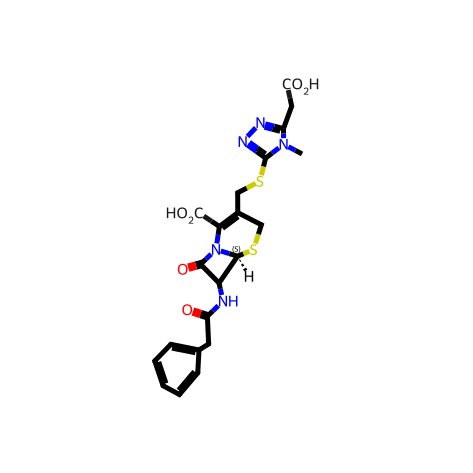 Cn1c(CC(=O)O)nnc1SCC1=C(C(=O)O)N2C(=O)C(NC(=O)Cc3ccccc3)[C@@H]2SC1